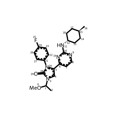 COC(C)n1cc(-c2ccnc(N[C@H]3CC[C@H](C)CC3)n2)n(-c2ccc(F)cc2)c1=O